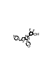 CN1CCN(CC2Cc3nc(-c4cc(O)c(F)c(F)c4)nc(N4CCOCC4)c3S2)CC1